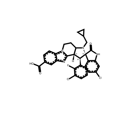 O=C(O)c1ccc2c(c1)nc1n2CCC2[C@@H]1[C@H](c1cccc(Cl)c1F)[C@]1(C(=O)Nc3cc(Cl)ccc31)N2CC1CC1